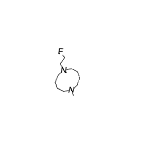 CN1CCCCN(CCF)CCCC1